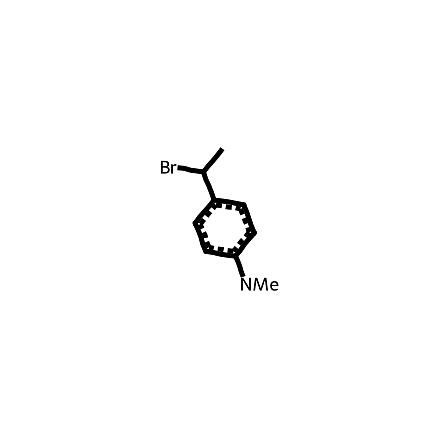 CNc1ccc(C(C)Br)cc1